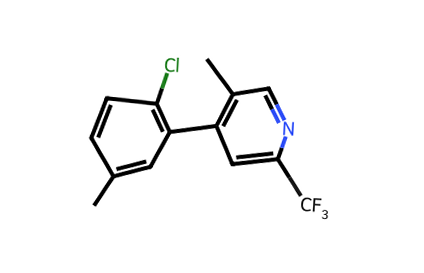 Cc1ccc(Cl)c(-c2cc(C(F)(F)F)ncc2C)c1